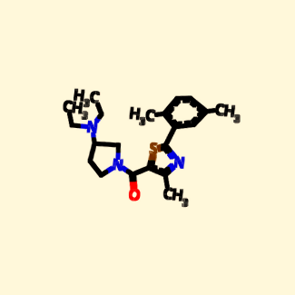 CCN(CC)C1CCN(C(=O)c2sc(-c3cc(C)ccc3C)nc2C)C1